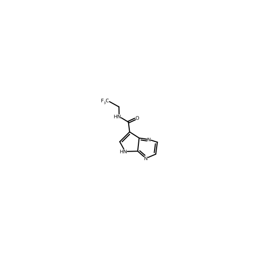 O=C(NCC(F)(F)F)c1c[nH]c2nccnc12